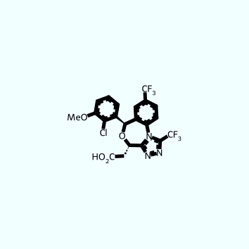 COc1cccc([C@@H]2O[C@@H](CC(=O)O)c3nnc(C(F)(F)F)n3-c3ccc(C(F)(F)F)cc32)c1Cl